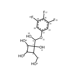 OCC1C(O)C(O)C1(O)C(O)Oc1cc(F)c(F)c(F)c1